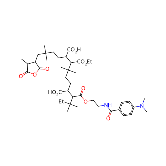 CCOC(=O)C(C(CCC(C)(C)CC1C(=O)OC(=O)C1C)C(=O)O)C(C)(C)CCC(C(=O)O)C(C(=O)OCCNC(=O)c1ccc(N(C)C)cc1)C(C)(C)CC